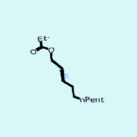 C[CH]C(=O)OC/C=C/CCCCCCC